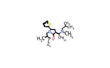 C/C(=C1/C=C(c2cccs2)N(CC(C)C)C1=O)N(C)CC(C)C